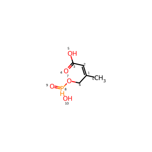 CC(=CC(=O)O)CO[PH](=O)O